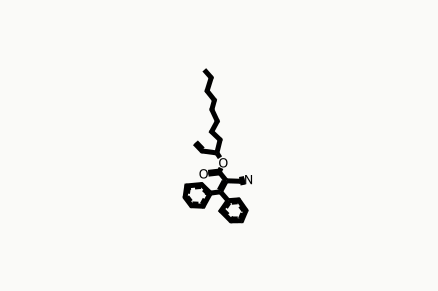 C=CC(CCCCCCCC)OC(=O)C(C#N)=C(c1ccccc1)c1ccccc1